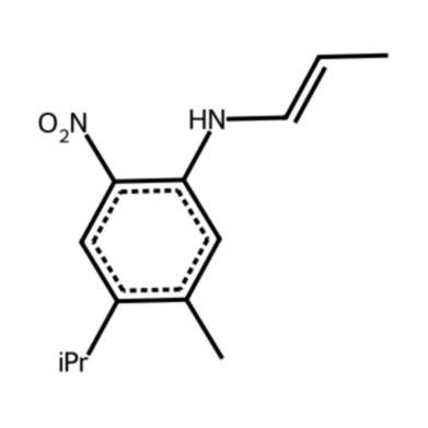 CC=CNc1cc(C)c(C(C)C)cc1[N+](=O)[O-]